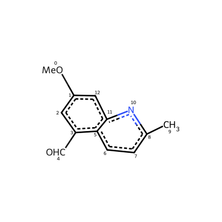 COc1cc(C=O)c2ccc(C)nc2c1